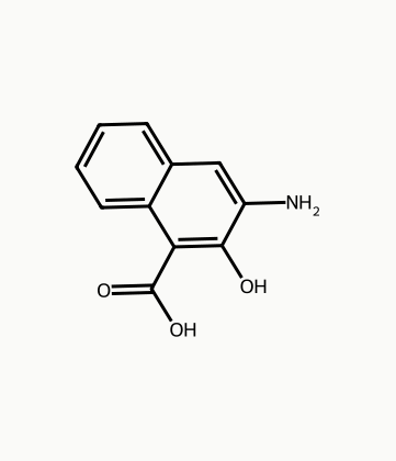 Nc1cc2ccccc2c(C(=O)O)c1O